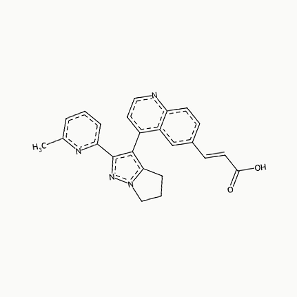 Cc1cccc(-c2nn3c(c2-c2ccnc4ccc(C=CC(=O)O)cc24)CCC3)n1